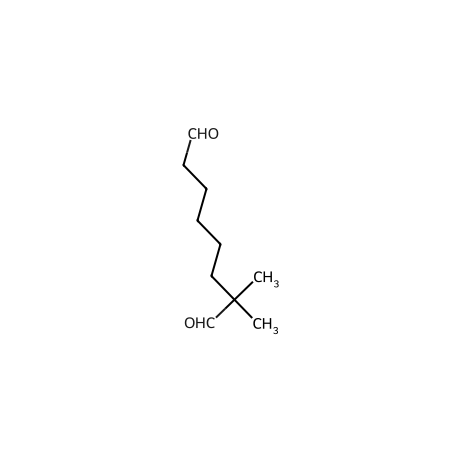 CC(C)(C=O)CCCCCC=O